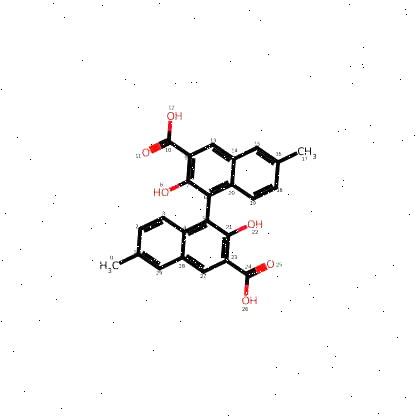 Cc1ccc2c(-c3c(O)c(C(=O)O)cc4cc(C)ccc34)c(O)c(C(=O)O)cc2c1